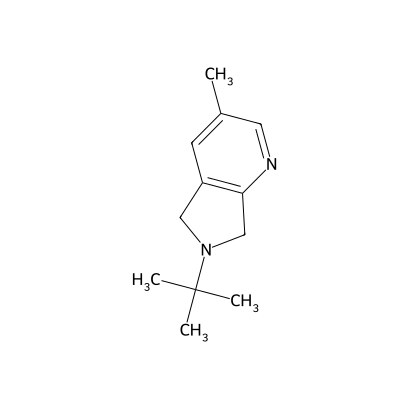 Cc1cnc2c(c1)CN(C(C)(C)C)C2